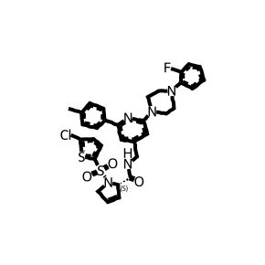 Cc1ccc(-c2cc(CNC(=O)[C@@H]3C=CCN3S(=O)(=O)c3ccc(Cl)s3)cc(N3CCN(c4ccccc4F)CC3)n2)cc1